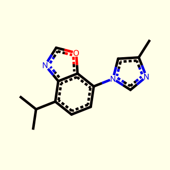 Cc1cn(-c2ccc(C(C)C)c3ncoc23)cn1